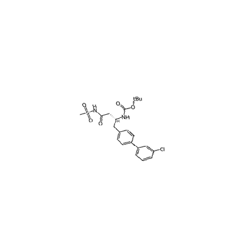 CC(C)(C)OC(=O)N[C@@H](CC(=O)NS(C)(=O)=O)Cc1ccc(-c2cccc(Cl)c2)cc1